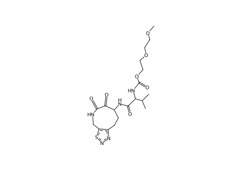 COCCOCCOC(=O)NC(C(=O)NC1CCc2nnsc2CNC(=O)C1=O)C(C)C